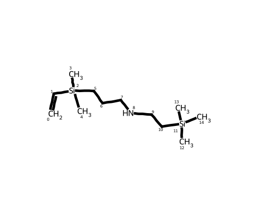 C=C[Si](C)(C)CCCNCC[Si](C)(C)C